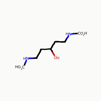 O=C(O)NCCC(O)CCNC(=O)O